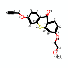 C#CCOc1ccc2c(=O)c3ccc(OCCOCC)cc3sc2c1